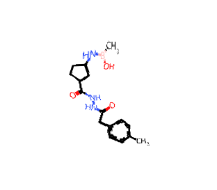 CB(O)NC1CCC(C(=O)NNC(=O)Cc2ccc(C)cc2)C1